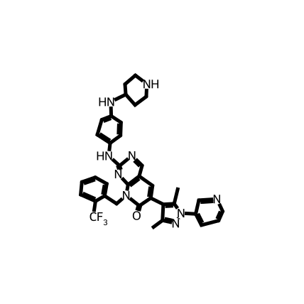 Cc1nn(-c2cccnc2)c(C)c1-c1cc2cnc(Nc3ccc(NC4CCNCC4)cc3)nc2n(Cc2ccccc2C(F)(F)F)c1=O